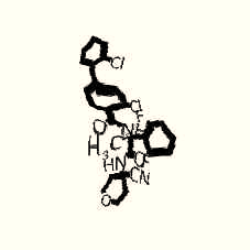 C[C@@](NC(=O)c1ccc(-c2ccccc2Cl)cc1Cl)(C(=O)NC1(C#N)CCOCC1)c1c(F)cccc1F